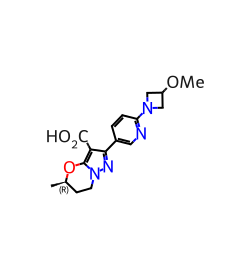 COC1CN(c2ccc(-c3nn4c(c3C(=O)O)O[C@H](C)CC4)cn2)C1